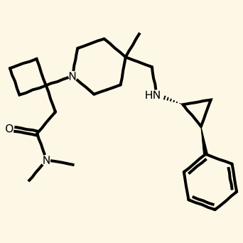 CN(C)C(=O)CC1(N2CCC(C)(CN[C@@H]3C[C@H]3c3ccccc3)CC2)CCC1